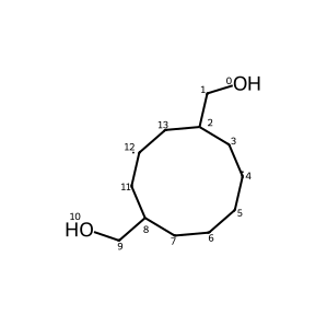 OCC1C[CH]CCCC(CO)C[CH]C1